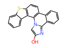 Oc1cn2c(n1)c1ccccc1c1ccc3sc4ccccc4c3c12